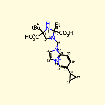 CCC1(C(=O)O)NC(C(=O)O)(C(C)(C)C)CN1Cn1cc[n+]2cc(C3CC3)ccc12